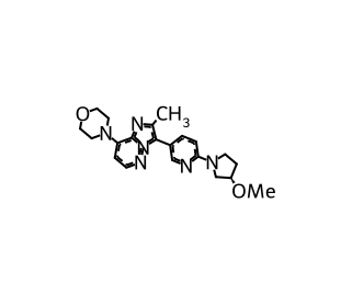 CO[C@@H]1CCN(c2ccc(-c3c(C)nc4c(N5CCOCC5)ccnn34)cn2)C1